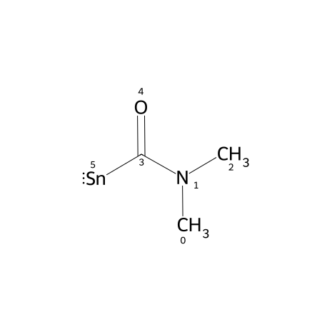 CN(C)[C](=O)[Sn]